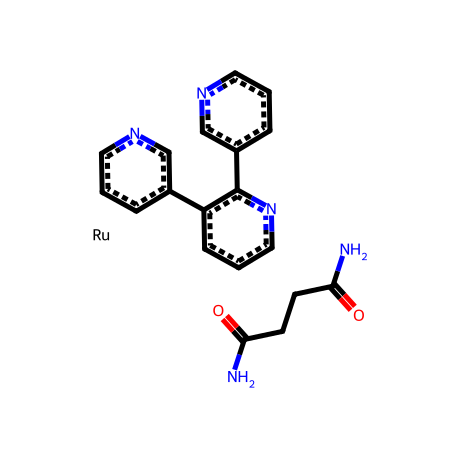 NC(=O)CCC(N)=O.[Ru].c1cncc(-c2cccnc2-c2cccnc2)c1